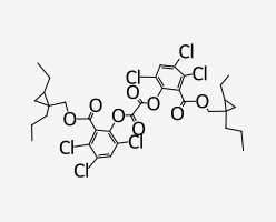 CCCC1(COC(=O)c2c(Cl)c(Cl)cc(Cl)c2OC(=O)C(=O)Oc2c(Cl)cc(Cl)c(Cl)c2C(=O)OCC2(CCC)CC2CC)CC1CC